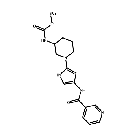 CC(C)(C)OC(=O)NC1CCCN(c2cc(NC(=O)c3cccnc3)c[nH]2)C1